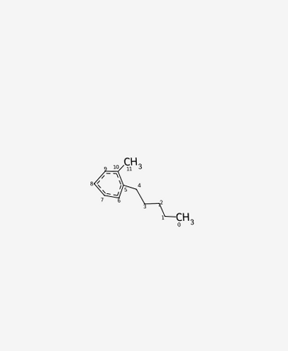 CC[CH]CCc1ccccc1C